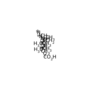 C=C(C)[C@@H]1CC[C@]2(CN(C)C3(CN4CCCC4)CC3)CC[C@]3(C)[C@H](CC[C@@H]4[C@@]5(C)CC=C(c6ccc(C(=O)O)cc6)C(C)(C)[C@@H]5CC[C@]43C)[C@@H]12